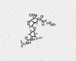 COc1cc2nccc(Oc3ccc(NC(=O)NC4CC4)c(CI)c3)c2cc1C(=O)NCCOC(C)C